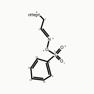 CCCCCCCCC=NOS(=O)(=O)c1ccccc1